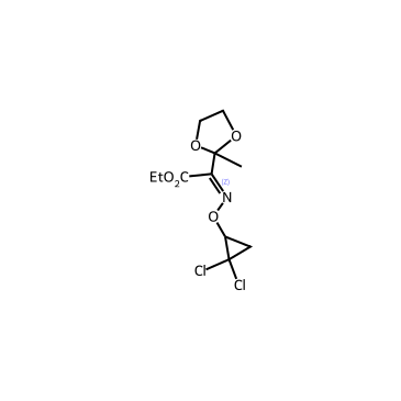 CCOC(=O)/C(=N\OC1CC1(Cl)Cl)C1(C)OCCO1